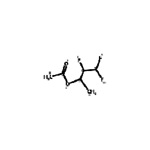 CC(=O)OC(C)C(F)C(F)F